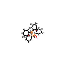 O=P(c1ccccc1)(c1ccccc1)P(c1ccccc1)c1ccccc1